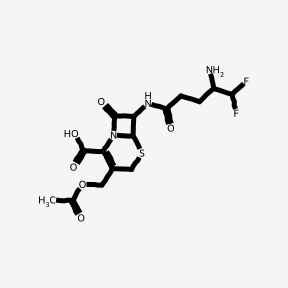 CC(=O)OCC1=C(C(=O)O)N2C(=O)C(NC(=O)CCC(N)C(F)F)C2SC1